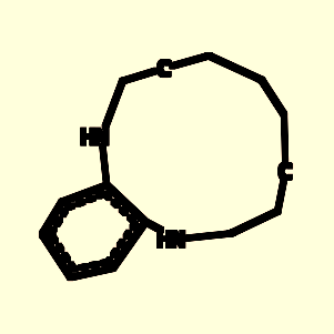 c1ccc2c(c1)NCCCCCCCCN2